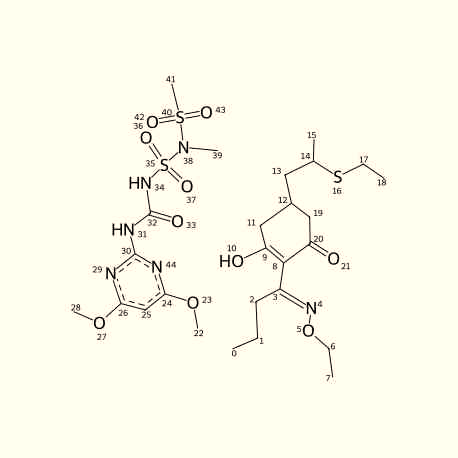 CCCC(=NOCC)C1=C(O)CC(CC(C)SCC)CC1=O.COc1cc(OC)nc(NC(=O)NS(=O)(=O)N(C)S(C)(=O)=O)n1